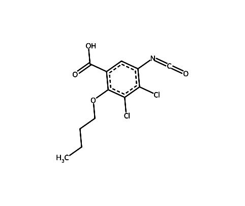 CCCCOc1c(C(=O)O)cc(N=C=O)c(Cl)c1Cl